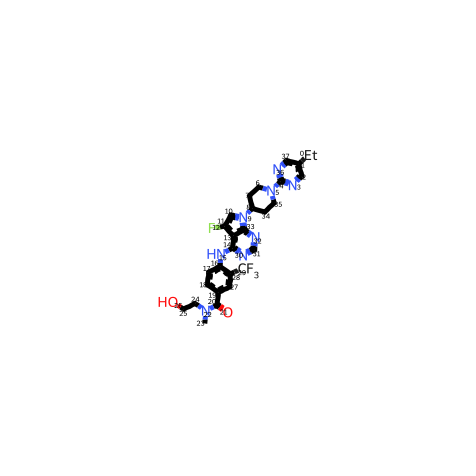 CCc1cnc(N2CCC(n3cc(F)c4c(Nc5ccc(C(=O)N(C)CCO)cc5C(F)(F)F)ncnc43)CC2)nc1